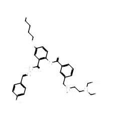 CCN(CC)CCN(C)Cc1cccc(C(=O)Nc2ccc(OCCCCF)cc2C(=O)NN=Cc2ccc(C)cc2)c1